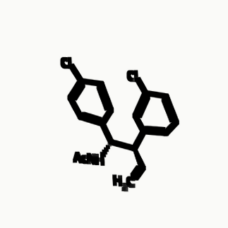 C=C[C@H](c1cccc(Cl)c1)[C@H](NC(C)=O)c1ccc(Cl)cc1